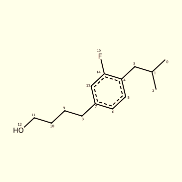 CC(C)Cc1ccc(CCCCO)cc1F